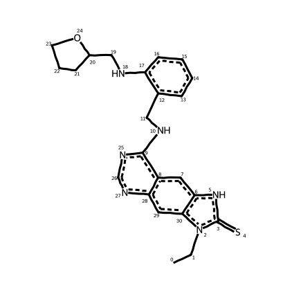 CCn1c(=S)[nH]c2cc3c(NCc4ccccc4NCC4CCCO4)ncnc3cc21